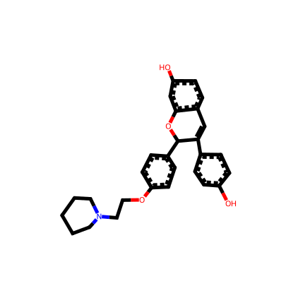 Oc1ccc(C2=Cc3ccc(O)cc3OC2c2ccc(OCCN3CCCCC3)cc2)cc1